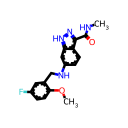 CNC(=O)c1n[nH]c2cc(NCc3cc(F)ccc3OC)ccc12